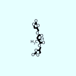 CCC(C)(CC(=O)OCC1COC(=O)O1)C(=O)OCC1COC(=O)O1